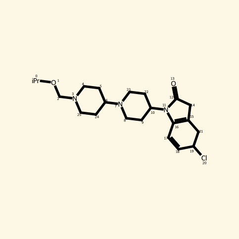 CC(C)OCN1CCC(N2CCC(N3C(=O)CC4=C3C=CC(Cl)C4)CC2)CC1